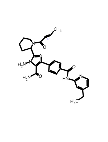 C/C=C/C(=O)N1CCCCC1c1nc(-c2ccc(C(=O)Nc3cc(CC)ccn3)cc2)c(C(N)=O)n1N